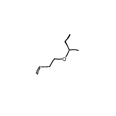 C=CCCOC(C)CC